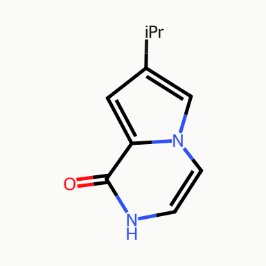 CC(C)c1cc2c(=O)[nH]ccn2c1